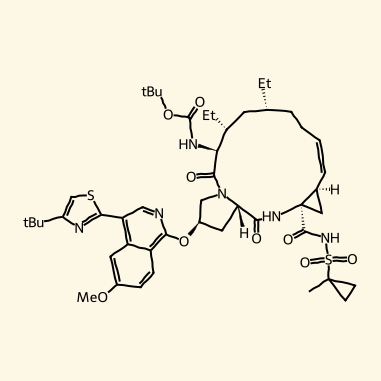 CC[C@@H]1CC/C=C\[C@H]2C[C@@]2(C(=O)NS(=O)(=O)C2(C)CC2)NC(=O)[C@@H]2C[C@@H](Oc3ncc(-c4nc(C(C)(C)C)cs4)c4cc(OC)ccc34)CN2C(=O)[C@@H](NC(=O)OC(C)(C)C)[C@H](CC)C1